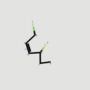 CCC(F)/C=C\CF